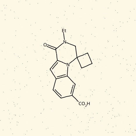 CCN1CC2(CCC2)n2c(cc3ccc(C(=O)O)cc32)C1=O